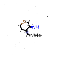 CN/C=C1/CCSCC1=N